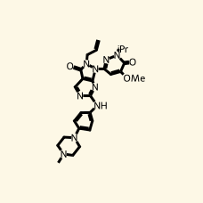 C=CCn1c(=O)c2cnc(Nc3ccc(N4CCN(C)CC4)cc3)nc2n1-c1cc(OC)c(=O)n(C(C)C)n1